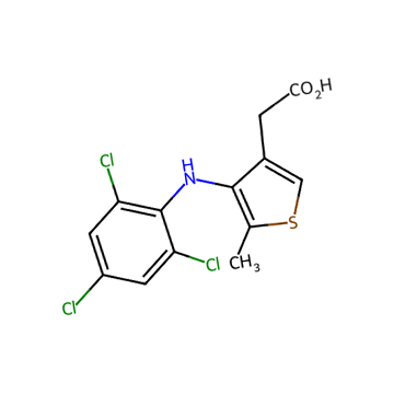 Cc1scc(CC(=O)O)c1Nc1c(Cl)cc(Cl)cc1Cl